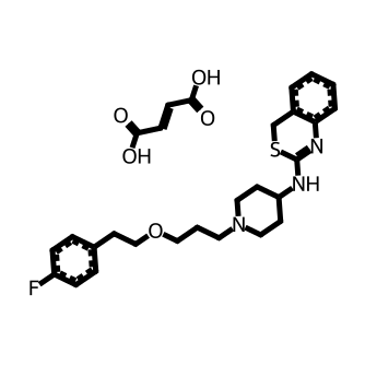 Fc1ccc(CCOCCCN2CCC(NC3=Nc4ccccc4CS3)CC2)cc1.O=C(O)C=CC(=O)O